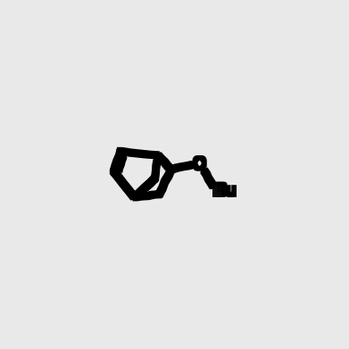 CCC(C)OC1CC2C=CC1C2